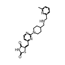 Cc1cccc(CNCC2CCN(c3nccc(/C=C4/SC(=O)NC4=O)n3)CC2)n1